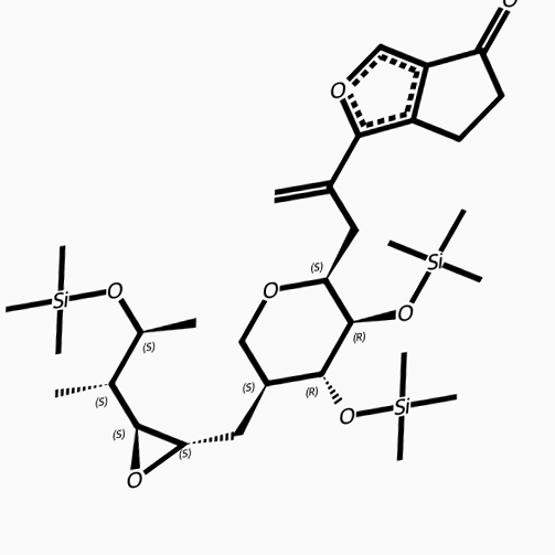 C=C(C[C@@H]1OC[C@H](C[C@@H]2O[C@H]2[C@H](C)[C@H](C)O[Si](C)(C)C)[C@@H](O[Si](C)(C)C)[C@@H]1O[Si](C)(C)C)c1occ2c1CCC2=O